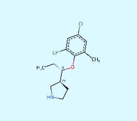 CC[C@H](Oc1c(C)cc(Cl)cc1Cl)[C@H]1CCNC1